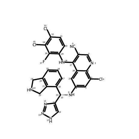 N#Cc1cnc2c(Cl)cc(N[C@H](c3c[nH]nn3)c3cccc4c3CNC4)cc2c1Nc1ccc(Cl)c(Cl)c1F